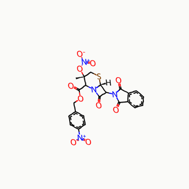 C[C@@]1(O[N+](=O)[O-])CS[C@@H]2C(N3C(=O)c4ccccc4C3=O)C(=O)N2C1C(=O)OCc1ccc([N+](=O)[O-])cc1